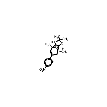 CC1(C)O[C@@H]2[C@H](O1)[C@@]1(C)C=C(c3ccc([N+](=O)[O-])cc3)C[C@]2(C)O1